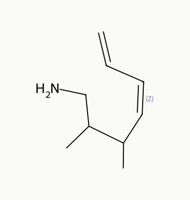 C=C/C=C\C(C)C(C)CN